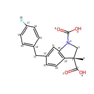 C[C@]1(C(=O)O)CN(C(=O)O)c2cc(Cc3ccc(F)cc3)ccc21